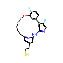 Fc1ccc2cc1OCCCCCc1cc(CCS)cc(n1)Nc1cc-2c(F)cn1